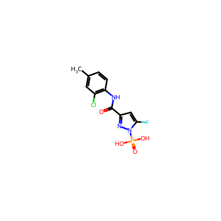 Cc1ccc(NC(=O)c2cc(F)n(P(=O)(O)O)n2)c(Cl)c1